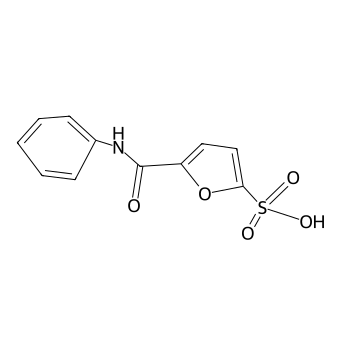 O=C(Nc1ccccc1)c1ccc(S(=O)(=O)O)o1